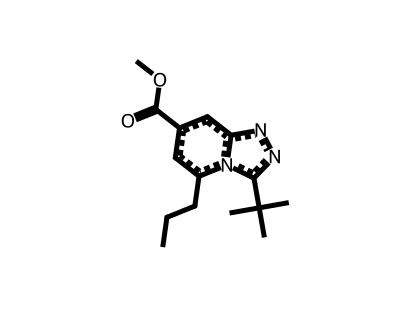 CCCc1cc(C(=O)OC)cc2nnc(C(C)(C)C)n12